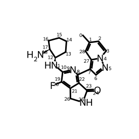 Cc1ccn2ncc(-c3nc(N[C@@H]4CCCC[C@@H]4N)c(F)c4c3C(=O)NC4)c2c1